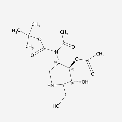 CC(=O)O[C@H]1[C@H](O)C(CO)NC[C@@H]1N(C(C)=O)C(=O)OC(C)(C)C